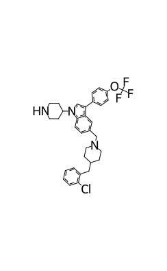 FC(F)(F)Oc1ccc(-c2cn(C3CCNCC3)c3ccc(CN4CCC(Cc5ccccc5Cl)CC4)cc23)cc1